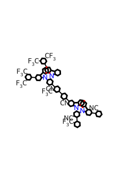 N#Cc1ccccc1-c1ccc2c(c1)c1ccccc1n2-c1cc(-c2ccccc2C(F)(F)F)c(C#N)cc1-n1c2ccccc2c2cc(-c3ccc(-c4ccc(-c5cc(-n6c7ccccc7c7cc(-c8cc(C(F)(F)F)cc(C(F)(F)F)c8)ccc76)c(-n6c7ccccc7c7cc(-c8cc(C(F)(F)F)cc(C(F)(F)F)c8)ccc76)cc5C#N)c(C(F)(F)F)c4)cc3C#N)ccc21